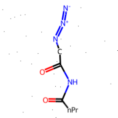 CCCC(=O)NC(=O)CN=[N+]=[N-]